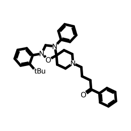 CC(C)(C)c1ccccc1N1CN(c2ccccc2)C2(CCN(CCCC(=O)c3ccccc3)CC2)O1